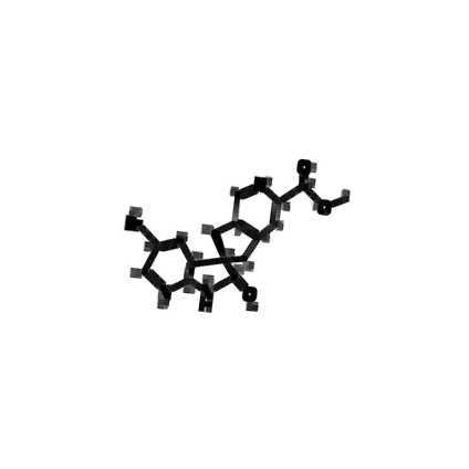 COC(=O)c1cc2c(cn1)C[C@@]1(C2)C(=O)Nc2ncc(Br)cc21